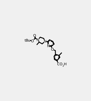 Cc1cc(C(=O)O)ccc1COc1cccc(N2CCN(C(=O)OC(C)(C)C)C(C)C2)n1